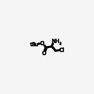 CC(C)(C)OC(=O)C(N)CCl